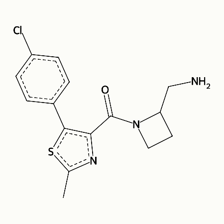 Cc1nc(C(=O)N2CCC2CN)c(-c2ccc(Cl)cc2)s1